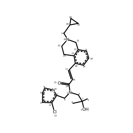 CC(C)(O)CN(Cc1ncccc1Cl)C(=O)/C=C/c1cccc2c1CCN(CC1CC1)C2